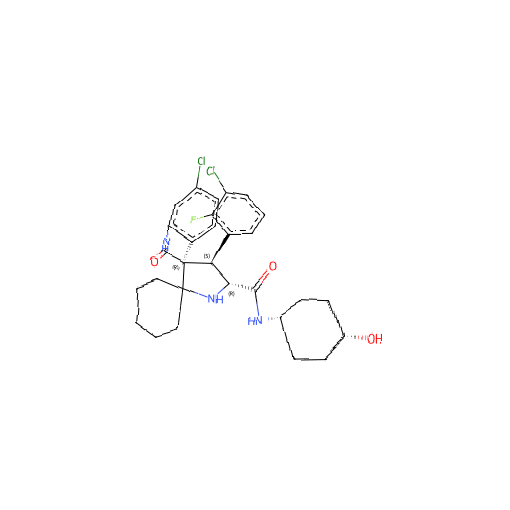 O=C(N[C@H]1CC[C@@H](O)CC1)[C@@H]1NC2(CCCCC2)[C@@]2(C(=O)Nc3cc(Cl)ccc32)[C@H]1c1cccc(Cl)c1F